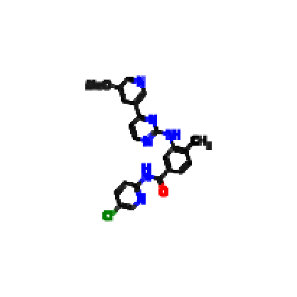 COc1cncc(-c2ccnc(Nc3cc(C(=O)Nc4ccc(Cl)cn4)ccc3C)n2)c1